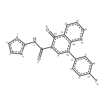 O=C(Nc1nccs1)c1cn(-c2ccc(F)cc2)c2ncccc2c1=O